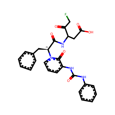 O=C(O)CC(NC(=O)[C@H](Cc1ccccc1)n1cccc(NC(=O)Nc2ccccc2)c1=O)C(=O)CF